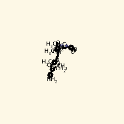 C=CC1CC(c2ccc(N)cc2)=CN1C(=O)c1cc(OC)c(OCCCOc2cc(/N=C\C(C)C/C(=C\C)c3ccc4c(c3)OCO4)c(C(C)=O)cc2OC)cc1C